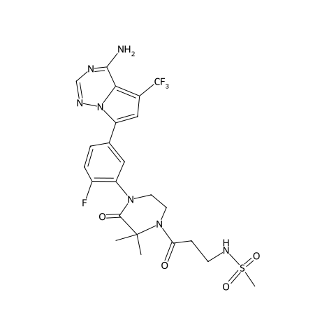 CC1(C)C(=O)N(c2cc(-c3cc(C(F)(F)F)c4c(N)ncnn34)ccc2F)CCN1C(=O)CCNS(C)(=O)=O